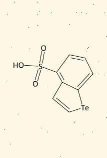 O=S(=O)(O)c1cccc2[te]ccc12